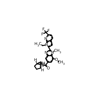 CCn1c(-c2nc3cc(C(=O)N4C[C@H]5CC[C@@H]4[C@@H]5N)cc(OC)c3n2C)cc2ccc(C(F)(F)F)nc21